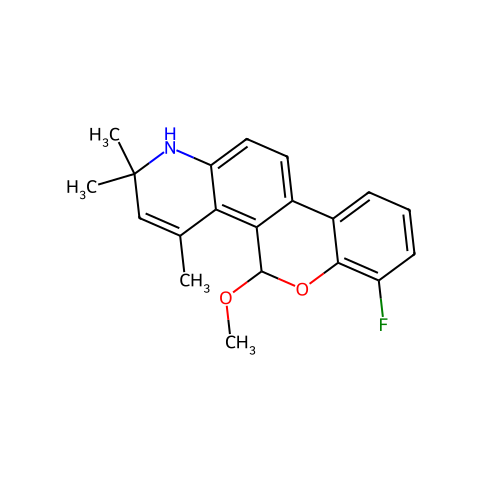 COC1Oc2c(F)cccc2-c2ccc3c(c21)C(C)=CC(C)(C)N3